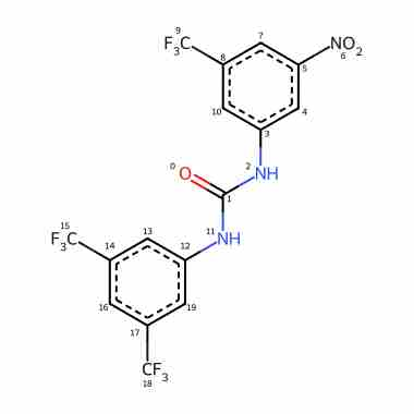 O=C(Nc1cc([N+](=O)[O-])cc(C(F)(F)F)c1)Nc1cc(C(F)(F)F)cc(C(F)(F)F)c1